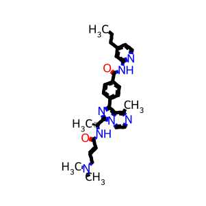 CCCc1ccnc(NC(=O)c2ccc(-c3nc([C@H](C)NC(=O)C=CCN(C)C)n4ccnc(C)c34)cc2)c1